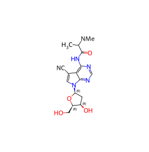 CNC(C)C(=O)Nc1ncnc2c1c(C#N)cn2[C@H]1C[C@@H](O)[C@@H](CO)O1